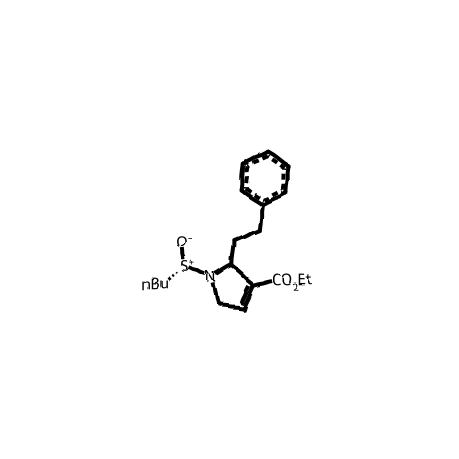 CCCC[S@+]([O-])N1CC=C(C(=O)OCC)C1CCc1ccccc1